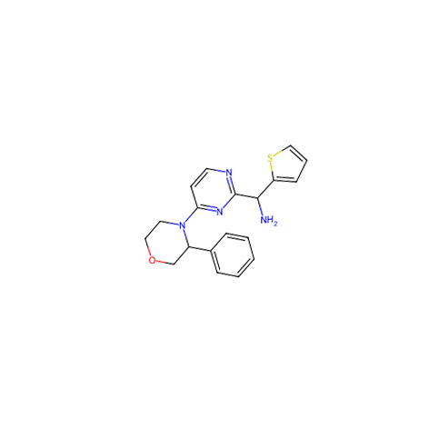 NC(c1nccc(N2CCOCC2c2ccccc2)n1)c1cccs1